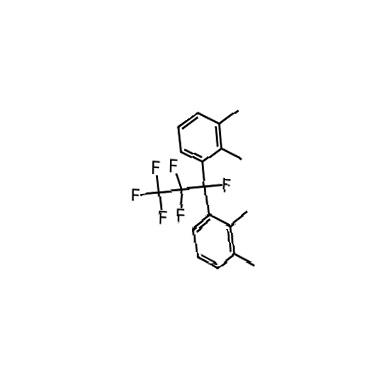 Cc1cccc(C(F)(c2cccc(C)c2C)C(F)(F)C(F)(F)F)c1C